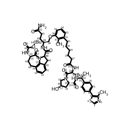 Cc1ncsc1-c1ccc([C@H](C)NC(=O)[C@@H]2C[C@@H](O)CN2C(=O)[C@@H](NC(=O)CCCCCc2cccc(OC[C@H](CCC(N)=O)NC(=O)C3Cc4cccc5c4N3C(=O)[C@@H](NC(=O)OC(C)(C)C)CC5)c2C)C(C)(C)C)cc1